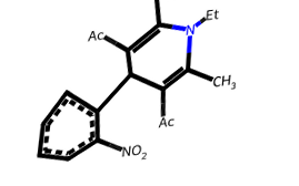 CCN1C(C)=C(C(C)=O)C(c2ccccc2[N+](=O)[O-])C(C(C)=O)=C1C